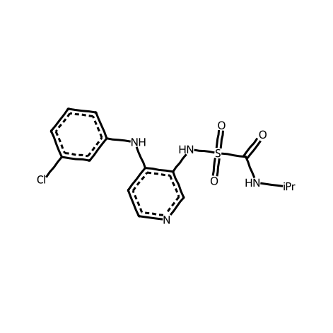 CC(C)NC(=O)S(=O)(=O)Nc1cnccc1Nc1cccc(Cl)c1